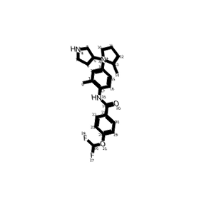 Cc1cc([N+]2(C3CCNC3)CCCC2C)ccc1NC(=O)c1ccc(OC(F)F)cc1